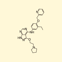 CCc1cc(Nc2ncnc3[nH]nc(OCCN4CCCC4)c23)ccc1OCc1ccccn1